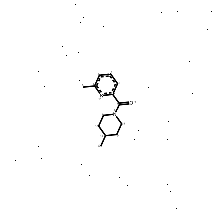 Cc1cccc(C(=O)N2CCC(C)CC2)n1